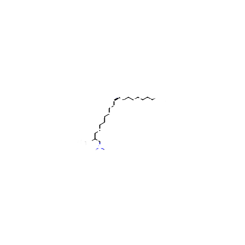 CCCCCCCC(CCCCCCCC/C=C\CCCCCCCC(=O)O)CN(C)C